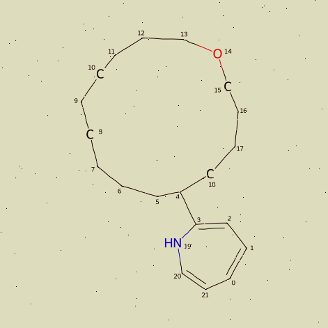 C1=CC=C(C2CCCCCCCCCOCCCC2)NC=C1